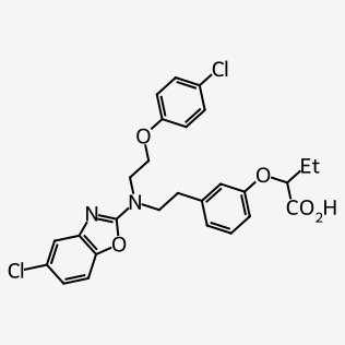 CCC(Oc1cccc(CCN(CCOc2ccc(Cl)cc2)c2nc3cc(Cl)ccc3o2)c1)C(=O)O